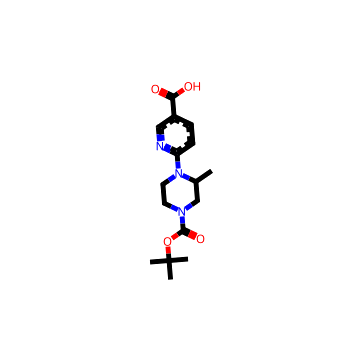 CC1CN(C(=O)OC(C)(C)C)CCN1c1ccc(C(=O)O)cn1